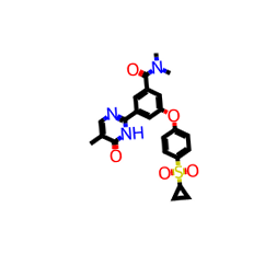 Cc1cnc(-c2cc(Oc3ccc(S(=O)(=O)C4CC4)cc3)cc(C(=O)N(C)C)c2)[nH]c1=O